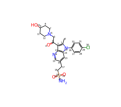 Cc1c(C(=O)CN2CCC(O)CC2)c2ncc(CCS(N)(=O)=O)cc2n1-c1ccc(Cl)cc1